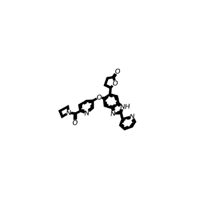 O=C1CCC(c2cc3[nH]c(-c4ccccn4)nc3cc2Oc2ccc(C(=O)N3CCC3)nc2)O1